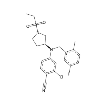 CCS(=O)(=O)N1CC[C@H](N(Cc2cc(F)ccc2C)c2ccc(C#N)c(Cl)c2)C1